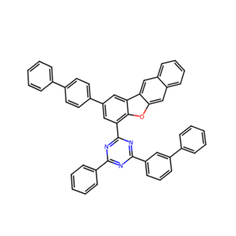 c1ccc(-c2ccc(-c3cc(-c4nc(-c5ccccc5)nc(-c5cccc(-c6ccccc6)c5)n4)c4oc5cc6ccccc6cc5c4c3)cc2)cc1